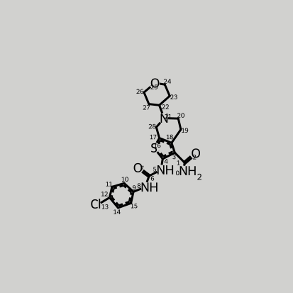 NC(=O)c1c(NC(=O)Nc2ccc(Cl)cc2)sc2c1CCN(C1CCOCC1)C2